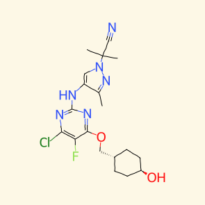 Cc1nn(C(C)(C)C#N)cc1Nc1nc(Cl)c(F)c(OC[C@H]2CC[C@H](O)CC2)n1